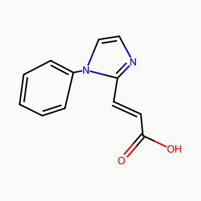 O=C(O)C=Cc1nccn1-c1ccccc1